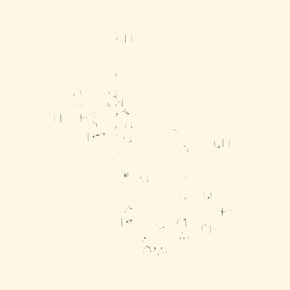 C=CCOC1CCO[C@@H](C)[C@@H]2O[C@H]3CCC(CC(=O)O[C@H]4CO[C@H]5C[C@@H](OC)C(CC(C)=O)OC5C4)O[C@@H]3[C@H](OC#CCC[C@H]3CC(=C)C(CCC4C[C@@H](C)C(=C)C(CC)O4)O3)[C@@H]2O1